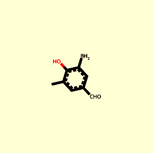 Bc1cc(C=O)cc(C)c1O